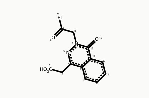 CCC(=O)Cn1nc(CC(=O)O)c2ccccc2c1=O